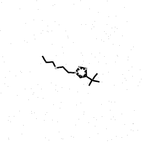 CCCOCCn1cc(C(C)(C)C)nn1